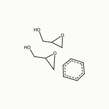 OCC1CO1.OCC1CO1.c1ccccc1